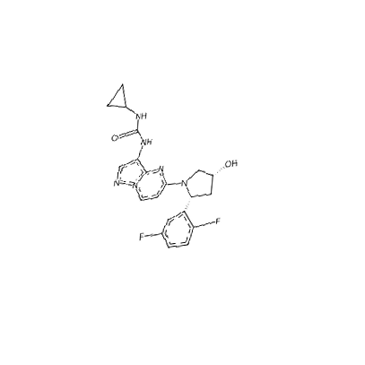 O=C(Nc1cnn2ccc(N3C[C@H](O)C[C@@H]3c3cc(F)ccc3F)nc12)NC1CC1